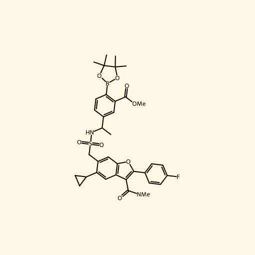 CNC(=O)c1c(-c2ccc(F)cc2)oc2cc(CS(=O)(=O)NC(C)c3ccc(B4OC(C)(C)C(C)(C)O4)c(C(=O)OC)c3)c(C3CC3)cc12